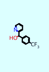 OC(c1ccc(C(F)(F)F)cc1)c1ccccn1